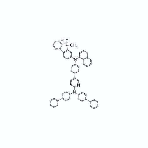 CC1(C)c2ccccc2-c2ccc(N(c3ccc(-c4ccc(N(c5ccc(-c6ccccc6)cc5)c5ccc(-c6ccccc6)cc5)nc4)cc3)c3cccc4ccccc34)cc21